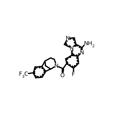 Nc1nc2cc(F)c(C(=O)N3CCC4CC3c3ccc(C(F)(F)F)cc34)cc2n2cncc12